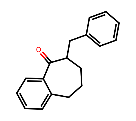 O=C1c2ccccc2CCCC1Cc1ccccc1